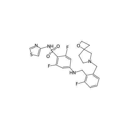 O=S(=O)(Nc1cscn1)c1c(F)cc(NCc2c(F)cccc2CN2CCC3(CCO3)C2)cc1F